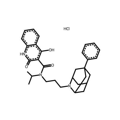 CC(C)N(CCCN1C2CC3CC1CC(c1ccccc1)(C3)C2)C(=O)c1c(O)c2ccccc2[nH]c1=O.Cl